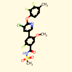 COc1cc(C(=O)NS(C)(=O)=O)c(F)cc1-c1cnc(Oc2ccc(C)c(F)c2F)c(Cl)c1